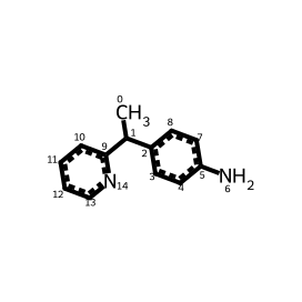 CC(c1ccc(N)cc1)c1ccccn1